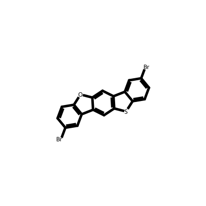 Brc1ccc2oc3cc4c(cc3c2c1)sc1ccc(Br)cc14